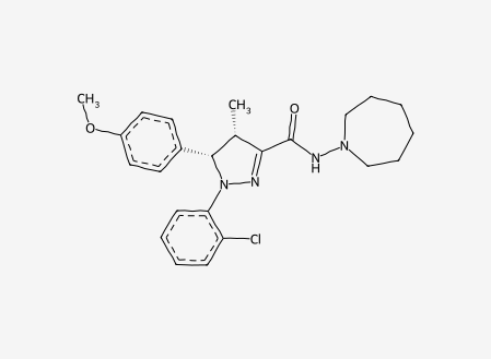 COc1ccc([C@@H]2[C@H](C)C(C(=O)NN3CCCCCC3)=NN2c2ccccc2Cl)cc1